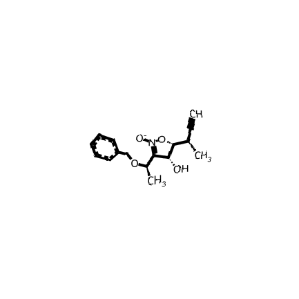 C#C[C@@H](C)[C@H]1O[N+]([O-])=C([C@@H](C)OCc2ccccc2)[C@H]1O